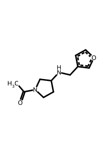 CC(=O)N1CCC(NCc2ccoc2)C1